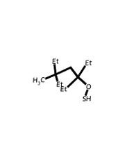 CCC(C)(CC)CC(CC)(CC)OS